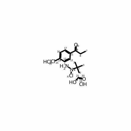 CC(C)(C)N(N)Cl.CCC(=O)c1ccc(Cl)cc1.Cl.Cl.O=CO